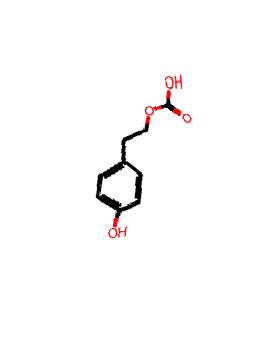 O=C(O)OCCc1ccc(O)cc1